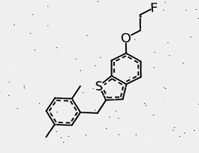 Cc1ccc(C)c(Cc2cc3ccc(OCCF)cc3s2)c1